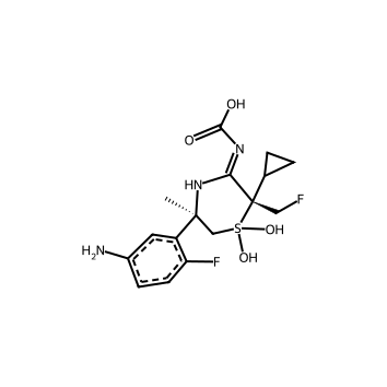 C[C@@]1(c2cc(N)ccc2F)CS(O)(O)[C@@](CF)(C2CC2)C(=NC(=O)O)N1